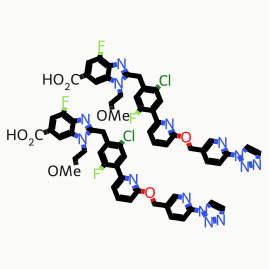 COCCn1c(Cc2cc(F)c(-c3cccc(OCc4ccc(-n5ccnn5)nc4)n3)cc2Cl)nc2c(F)cc(C(=O)O)cc21.COCCn1c(Cc2cc(F)c(-c3cccc(OCc4ccc(-n5ccnn5)nc4)n3)cc2Cl)nc2c(F)cc(C(=O)O)cc21